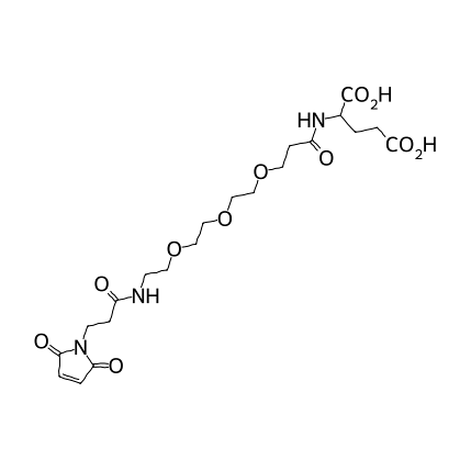 O=C(O)CCC(NC(=O)CCOCCOCCOCCNC(=O)CCN1C(=O)C=CC1=O)C(=O)O